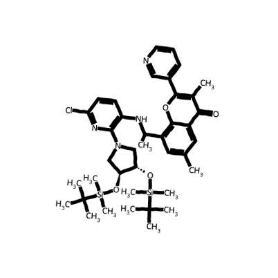 Cc1cc(C(C)Nc2ccc(Cl)nc2N2C[C@H](O[Si](C)(C)C(C)(C)C)[C@@H](O[Si](C)(C)C(C)(C)C)C2)c2oc(-c3cccnc3)c(C)c(=O)c2c1